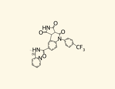 C[C@H](NC(=O)c1ccc2c(c1)C1C(=O)NC(=O)C1C(=O)N2c1ccc(C(F)(F)F)cc1)c1ccccn1